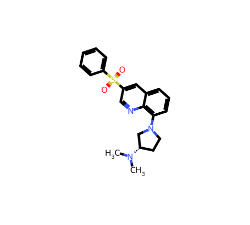 CN(C)[C@H]1CCN(c2cccc3cc(S(=O)(=O)c4ccccc4)cnc23)C1